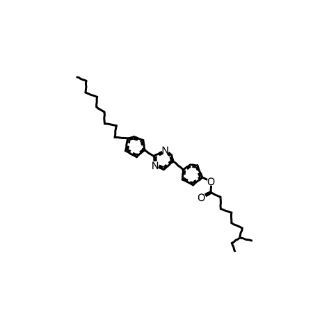 CCCCCCCCCc1ccc(-c2ncc(-c3ccc(OC(=O)CCCCCC(C)CC)cc3)cn2)cc1